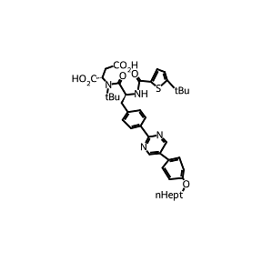 CCCCCCCOc1ccc(-c2cnc(-c3ccc(C[C@H](NC(=O)c4ccc(C(C)(C)C)s4)C(=O)N([C@@H](CC(=O)O)C(=O)O)C(C)(C)C)cc3)nc2)cc1